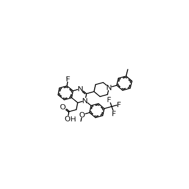 COc1ccc(C(F)(F)F)cc1N1C(C2CCN(c3cccc(C)c3)CC2)=Nc2c(F)cccc2C1CC(=O)O